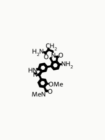 C=C(CN1Cc2c(-c3ccc4[nH]nc(-c5ccc(C(=O)NC)c(OC)c5)c4c3)ccc(N)c2C1=O)C(N)=O